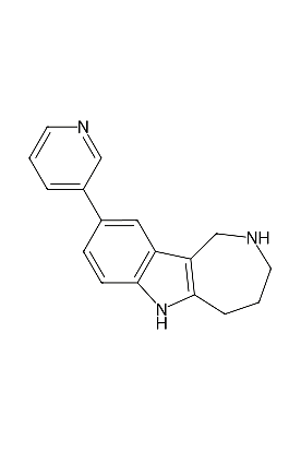 c1cncc(-c2ccc3[nH]c4c(c3c2)CNCCC4)c1